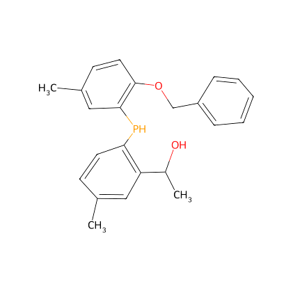 Cc1ccc(OCc2ccccc2)c(Pc2ccc(C)cc2C(C)O)c1